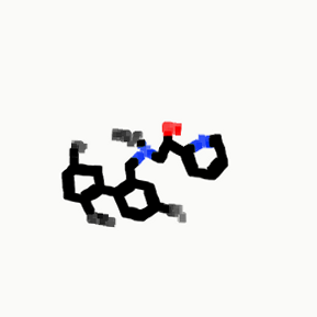 COc1ccc(C(C)C)cc1-c1ccc(C(F)(F)F)cc1CN(CC(O)c1ccccn1)C(=O)O